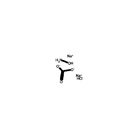 Cl.NO.O=C([O-])[O-].[Na+].[Na+]